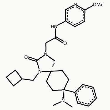 COc1ccc(NC(=O)CN2C[C@]3(CC[C@](c4ccccc4)(N(C)C)CC3)N(CC3CCC3)C2=O)cn1